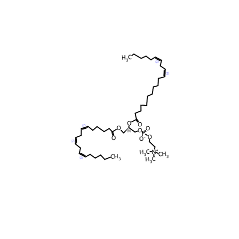 CCCCC/C=C\C/C=C\C/C=C\CCCCC(=O)OC[C@H](COP(=O)([O-])OCC[N+](C)(C)C)OC(=O)CCCCCCCCC/C=C\C/C=C\CCCCC